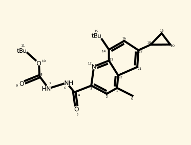 Cc1cc(C(=O)NNC(=O)OC(C)(C)C)nc2c(C(C)(C)C)cc(C3CC3)cc12